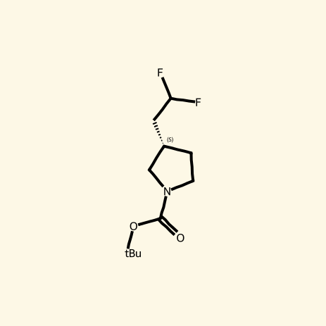 CC(C)(C)OC(=O)N1CC[C@@H](CC(F)F)C1